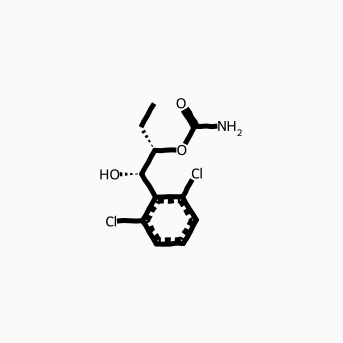 CC[C@H](OC(N)=O)[C@@H](O)c1c(Cl)cccc1Cl